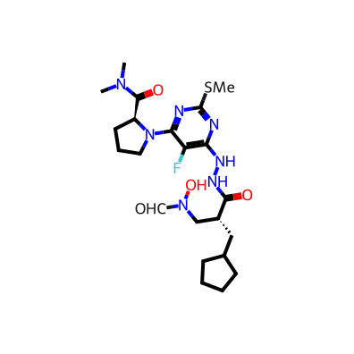 CSc1nc(NNC(=O)[C@H](CC2CCCC2)CN(O)C=O)c(F)c(N2CCC[C@H]2C(=O)N(C)C)n1